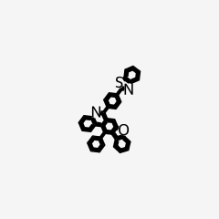 c1ccc(-c2c3c(cc4c(-c5ccc(-c6nc7ccccc7s6)cc5)nc5ccccc5c24)oc2ccccc23)cc1